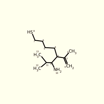 C=C(C)C(CCCCS)C(N)C(C)C